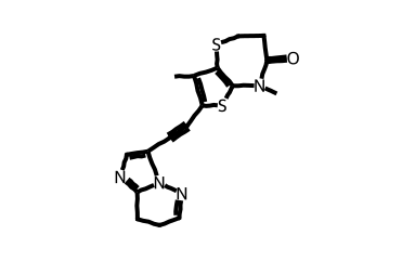 Cc1c(C#Cc2cnc3n2N=CCC3)sc2c1SCCC(=O)N2C